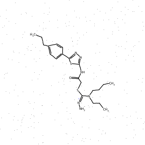 CCCCN(CCC)/C(=N\N)SCC(=O)Nc1nnc(-c2ccc(CCC)cc2)s1